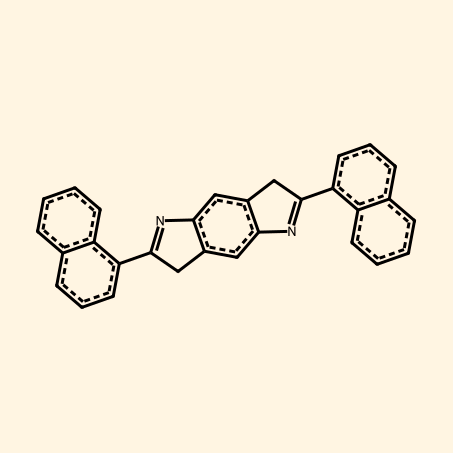 c1ccc2c(C3=Nc4cc5c(cc4C3)N=C(c3cccc4ccccc34)C5)cccc2c1